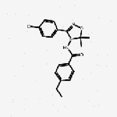 CCc1ccc(C(=O)NN2C(c3ccc(Cl)cc3)=NOC2(C)C)cc1